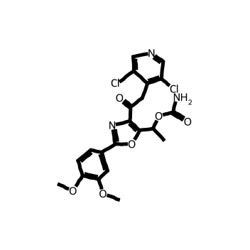 COc1ccc(-c2nc(C(=O)Cc3c(Cl)cncc3Cl)c(C(C)OC(N)=O)o2)cc1OC